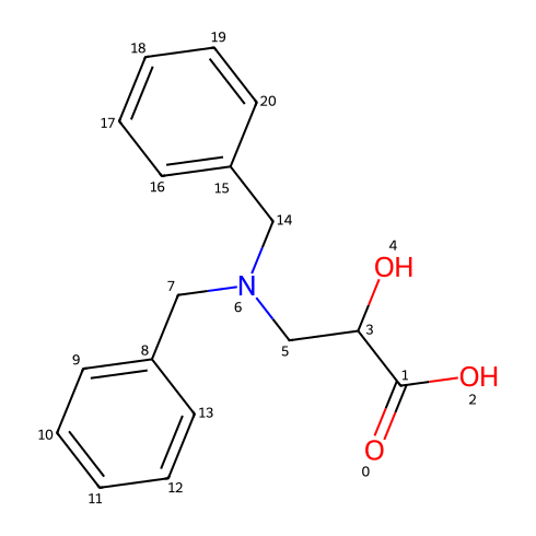 O=C(O)C(O)CN(Cc1ccccc1)Cc1ccccc1